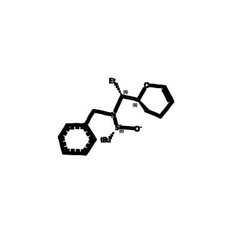 CC[C@H]([C@@H]1CCC=CO1)N(Cc1ccccc1)[S@+]([O-])C(C)(C)C